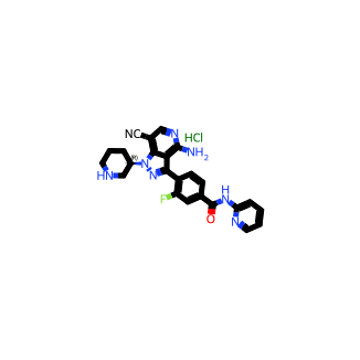 Cl.N#Cc1cnc(N)c2c(-c3ccc(C(=O)Nc4ccccn4)cc3F)nn([C@@H]3CCCNC3)c12